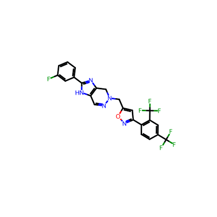 Fc1cccc(-c2nc3c([nH]2)C=NN(Cc2cc(-c4ccc(C(F)(F)F)cc4C(F)(F)F)no2)C3)c1